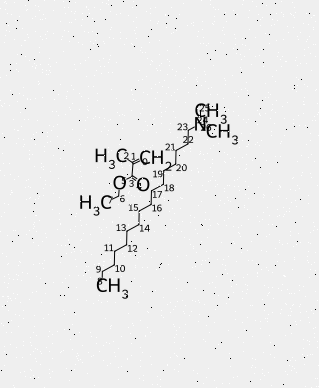 C=C(C)C(=O)OCC.CCCCCCCCCCCCCCCCN(C)C